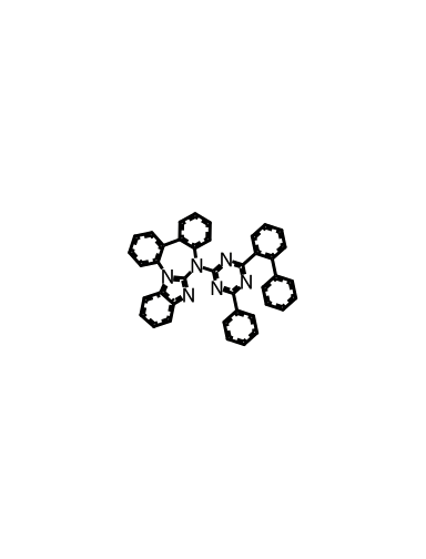 c1ccc(-c2nc(-c3ccccc3-c3ccccc3)nc(N3c4ccccc4-c4ccccc4-n4c3nc3ccccc34)n2)cc1